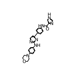 O=C(Nc1ccc(-c2ccnc(Nc3ccc(N4CCOCC4)cc3)n2)cc1)c1c[nH]cn1